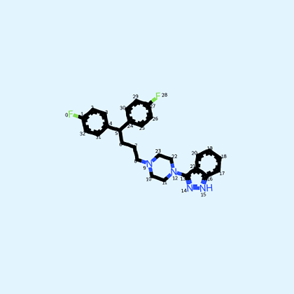 Fc1ccc(C(CCCN2CCN(c3n[nH]c4ccccc34)CC2)c2ccc(F)cc2)cc1